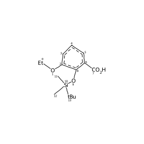 CCOc1cccc(C(=O)O)c1O[Si](C)(C)C(C)(C)C